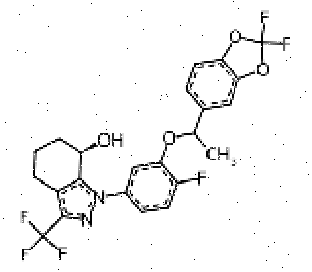 CC(Oc1cc(-n2nc(C(F)(F)F)c3c2[C@H](O)CCC3)ccc1F)c1ccc2c(c1)OC(F)(F)O2